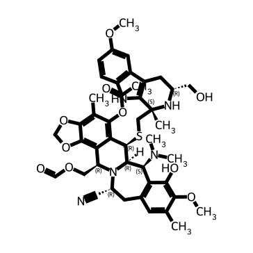 COc1ccc2[nH]c3c(c2c1)C[C@H](CO)N[C@]3(C)CS[C@@H]1c2c(OC(C)=O)c(C)c3c(c2[C@H](COC=O)N2[C@@H]1[C@@H](N(C)C)c1c(cc(C)c(OC)c1O)C[C@@H]2C#N)OCO3